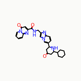 O=C1CC(c2ccc3nc(CNC(=O)c4cc(=O)n5ccccc5n4)cn3c2)NC(C2CCCCC2)C1